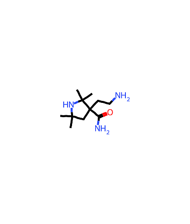 CC1(C)CC(CCN)(C(N)=O)C(C)(C)N1